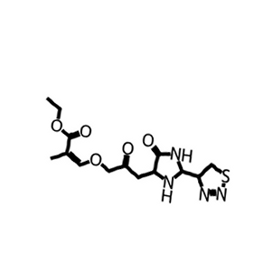 CCOC(=O)C(C)=COCC(=O)CC1NC(C2CSN=N2)NC1=O